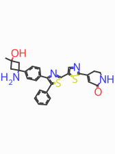 CC1(O)CC(N)(c2ccc(-c3nc(-c4cnc(C5=CC(=O)NCC5)s4)sc3-c3ccccc3)cc2)C1